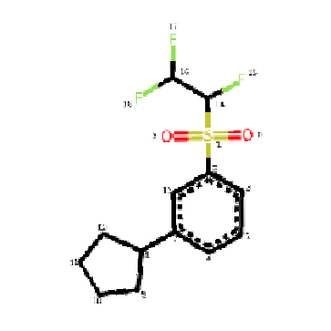 O=S(=O)(c1cccc(C2CCCC2)c1)C(F)C(F)F